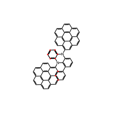 c1ccc(-c2cccc(N(c3ccccc3)c3cc4ccc5ccc6ccc7ccc8ccc3c3c8c7c6c5c43)c2N(c2ccccc2)c2cc3ccc4ccc5ccc6ccc7ccc2c2c7c6c5c4c32)cc1